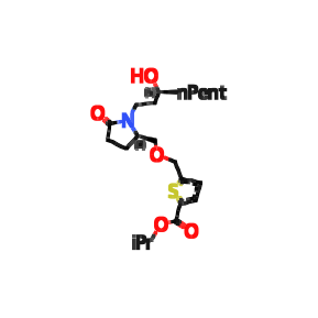 CCCCC[C@H](O)CCN1C(=O)CC[C@@H]1COCc1ccc(C(=O)OC(C)C)s1